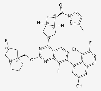 CCc1c(F)ccc2cc(O)cc(-c3ncc4c(N5C[C@H]6C[C@@H](C(=O)n7ccc(C)n7)[C@H]6C5)nc(OC[C@@]56CCCN5C[C@H](F)C6)nc4c3F)c12